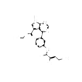 CCC=C(C)C(=O)Nc1cccc(-c2ncnc3[nH]cc(C(=O)OCC)c23)c1